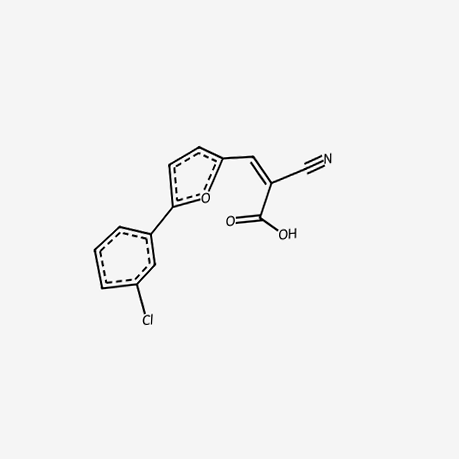 N#CC(=Cc1ccc(-c2cccc(Cl)c2)o1)C(=O)O